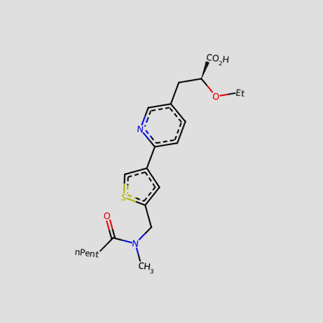 CCCCCC(=O)N(C)Cc1cc(-c2ccc(C[C@H](OCC)C(=O)O)cn2)cs1